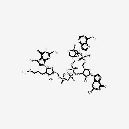 COCCOC1[C@@H](O)[C@@H](COP(=O)([O-])OP(=O)(O)OP(=O)(O)OC[C@]23CO[C@@H](C2OP(=O)(O)OC[C@H]2O[C@@H](n4cnc5c(=O)[nH]c(N)nc54)[C@@H](O)C2O)[C@H](n2cnc4c(N)ncnc42)O3)O[C@H]1n1c[n+](C)c2c(=O)[nH]c(N)nc21